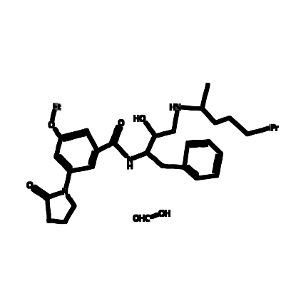 CCOc1cc(C(=O)NC(Cc2ccccc2)C(O)CNC(C)CCCC(C)C)cc(N2CCCC2=O)c1.O=CO